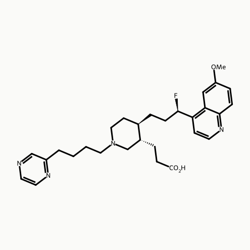 COc1ccc2nccc([C@H](F)CC[C@@H]3CCN(CCCCc4cnccn4)C[C@H]3CCC(=O)O)c2c1